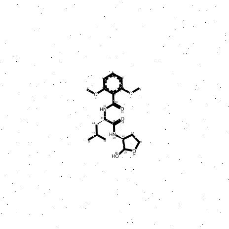 COc1cccc(OC)c1C(=O)N[C@@H](CC(C)C)C(=O)N[C@H]1CCOC1O